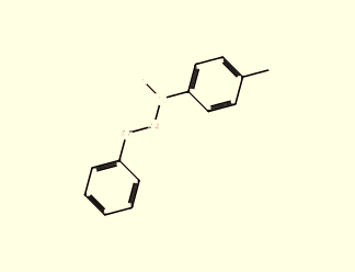 Cc1ccc(N(N)NNc2ccccc2)cc1